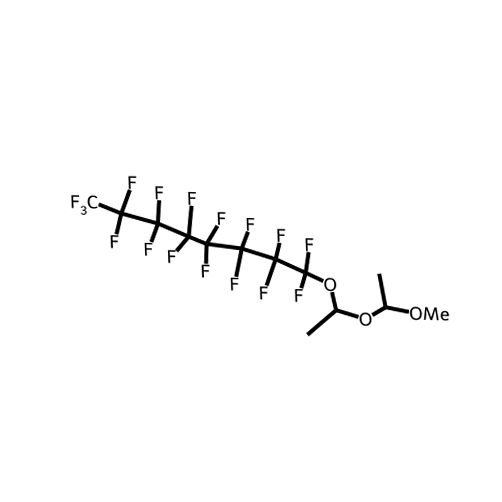 COC(C)OC(C)OC(F)(F)C(F)(F)C(F)(F)C(F)(F)C(F)(F)C(F)(F)C(F)(F)C(F)(F)F